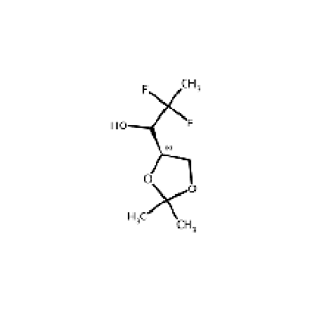 CC1(C)OC[C@H](C(O)C(C)(F)F)O1